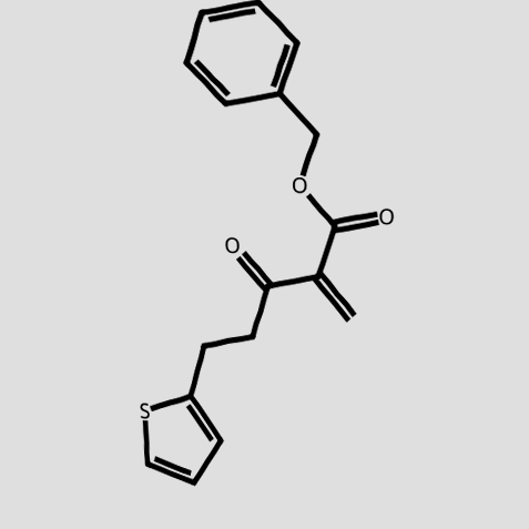 C=C(C(=O)CCc1cccs1)C(=O)OCc1ccccc1